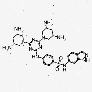 N[C@@H]1C[C@H](N)CN(c2nc(Nc3ccc(S(=O)(=O)Nc4ccc5cn[nH]c5c4)cc3)nc(N3C[C@H](N)C[C@H](N)C3)n2)C1